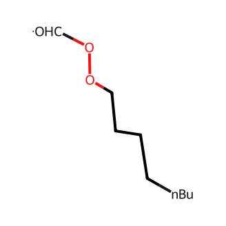 CCCCCCCCOO[C]=O